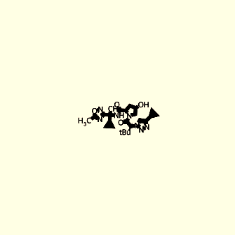 Cc1nc(C(C)(NC(=O)C2CC(O)CN2C(=O)[C@@H](n2cc(C3CC3)nn2)C(C)(C)C)C2CC2)no1